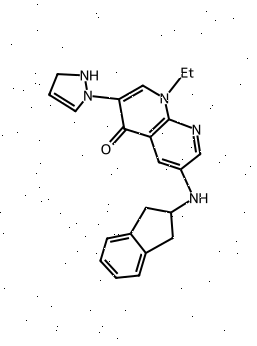 CCn1cc(N2C=CCN2)c(=O)c2cc(NC3Cc4ccccc4C3)cnc21